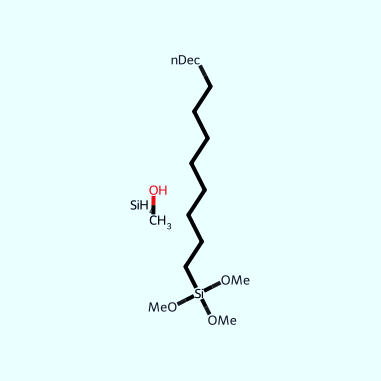 CCCCCCCCCCCCCCCCCC[Si](OC)(OC)OC.CO.[SiH4]